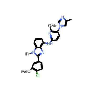 COc1cc(-c2nc3c(Nc4ccc(-n5cnc(C)c5)c(OC)n4)cccc3n2C(C)C)ccc1Cl